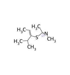 CC=C(S/C(C)=N\C)C(C)C